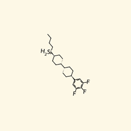 CCCC[SiH2][C@H]1CC[C@H]([C@H]2CC[C@H](c3cc(F)c(F)c(F)c3)CC2)CC1